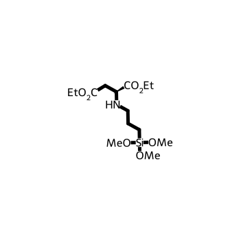 CCOC(=O)C[C@H](NCCC[Si](OC)(OC)OC)C(=O)OCC